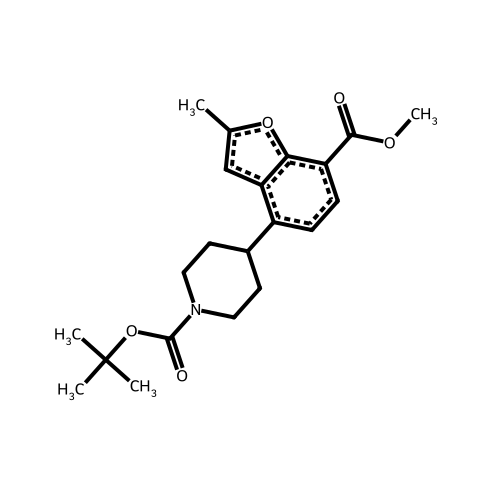 COC(=O)c1ccc(C2CCN(C(=O)OC(C)(C)C)CC2)c2cc(C)oc12